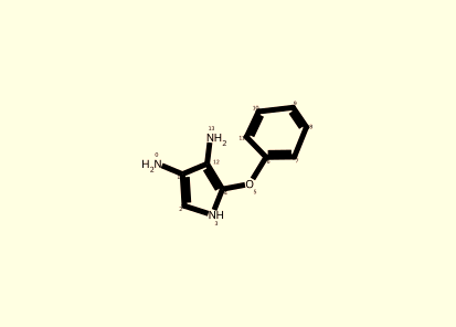 Nc1c[nH]c(Oc2ccccc2)c1N